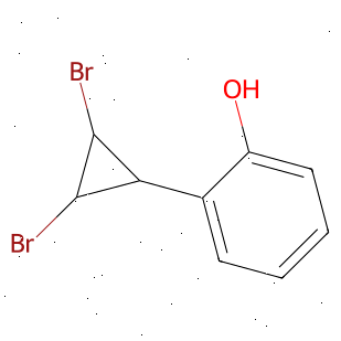 Oc1ccccc1C1C(Br)C1Br